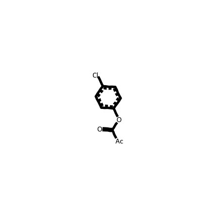 CC(=O)C(=O)Oc1ccc(Cl)cc1